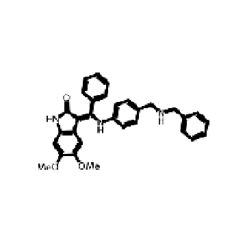 COc1cc2c(cc1OC)C(=C(Nc1ccc(CNCc3ccccc3)cc1)c1ccccc1)C(=O)N2